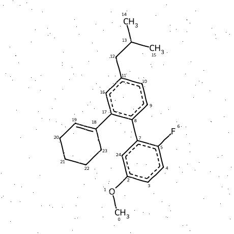 COc1ccc(F)c(-c2ccc(CC(C)C)cc2C2=CCCCC2)c1